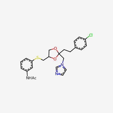 CC(=O)Nc1cccc(SCC2COC(CCc3ccc(Cl)cc3)(Cn3ccnc3)O2)c1